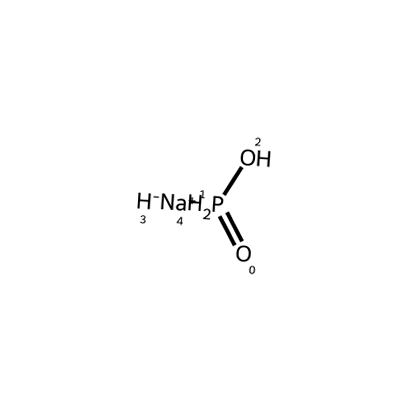 O=[PH2]O.[H-].[Na+]